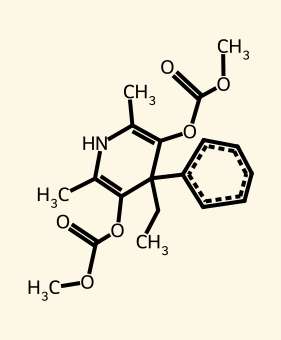 CCC1(c2ccccc2)C(OC(=O)OC)=C(C)NC(C)=C1OC(=O)OC